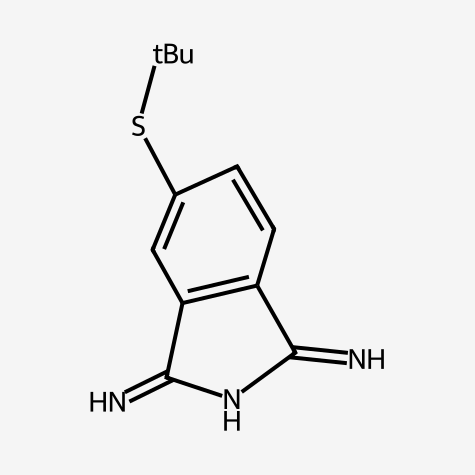 CC(C)(C)Sc1ccc2c(c1)C(=N)NC2=N